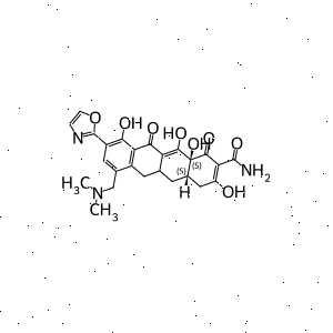 CN(C)Cc1cc(-c2ncco2)c(O)c2c1CC1C[C@H]3CC(O)=C(C(N)=O)C(=O)[C@@]3(O)C(O)=C1C2=O